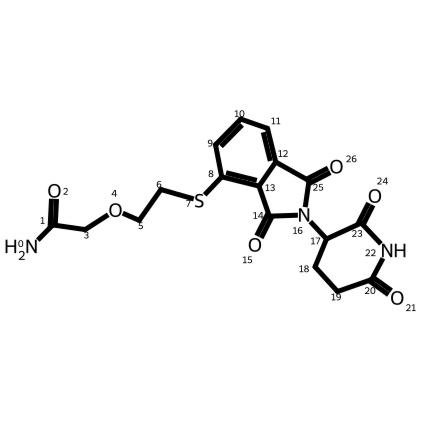 NC(=O)COCCSc1cccc2c1C(=O)N(C1CCC(=O)NC1=O)C2=O